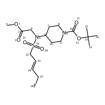 COC(=O)CN(C1CCN(C(=O)OC(C)(C)C)CC1)S(=O)(=O)CC=CCF